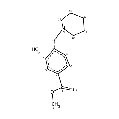 COC(=O)c1ccc(CN2CCCCC2)cc1.Cl